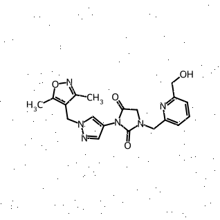 Cc1noc(C)c1Cn1cc(N2C(=O)CN(Cc3cccc(CO)n3)C2=O)cn1